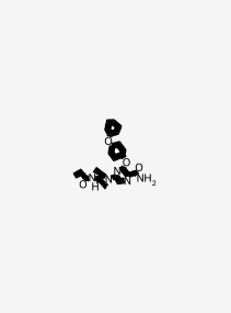 C=CC(=O)N1CC2[C@H]1CN2c1cnc(C(N)=O)c(Oc2ccc(Oc3ccccc3)cc2)n1